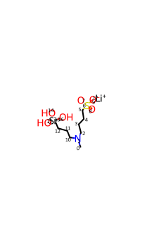 CN(CCCCS(=O)(=O)[O-])CCC[Si](O)(O)O.[Li+]